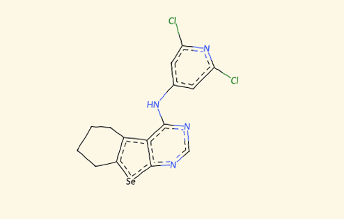 Clc1cc(Nc2ncnc3[se]c4c(c23)CCCC4)cc(Cl)n1